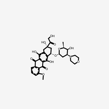 COc1cccc2c1C(=O)c1c(O)c3c(c(O)c1C2=O)C[C@@](O)(C(=O)CO)C[C@@H]3O[C@H]1C[C@H](N2CCOCC2)[C@H](O)[C@H](C)O1